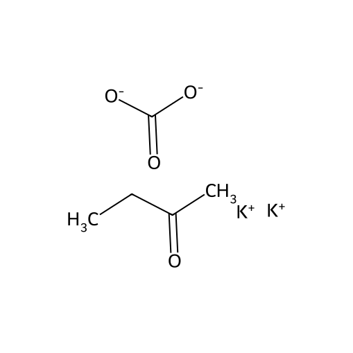 CCC(C)=O.O=C([O-])[O-].[K+].[K+]